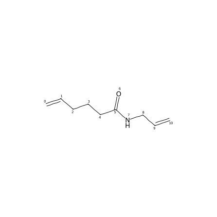 C=CCCCC(=O)NCC=C